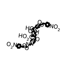 CC(O)C1(SC2CCN(C(=O)OCc3ccc([N+](=O)[O-])cc3)C2)C(=O)N2C(C(=O)O)=C(C(=O)N3CCN(C=NC(=O)OCc4ccc([N+](=O)[O-])cc4)CC3)[C@@H](C)[C@H]21